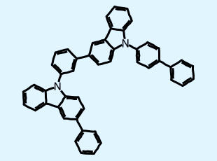 c1ccc(-c2ccc(-n3c4ccccc4c4cc(-c5cccc(-n6c7ccccc7c7cc(-c8ccccc8)ccc76)c5)ccc43)cc2)cc1